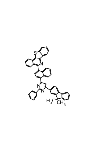 CC1(C)c2ccccc2-c2ccc(-c3cc(-c4ccc(-c5nc6c7ccccc7sc6c6ccccc56)c5ccccc45)nc(-c4ccccc4)n3)cc21